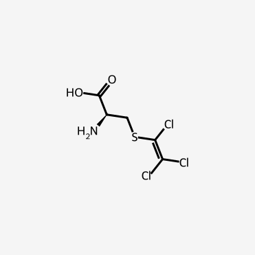 N[C@H](CSC(Cl)=C(Cl)Cl)C(=O)O